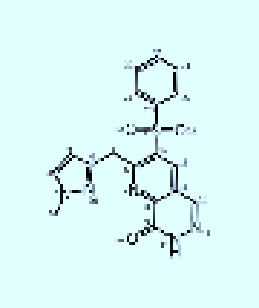 Cn1ccc(Cc2nc3c(=O)[nH]ncc3cc2S(=O)(=O)c2ccccc2)n1